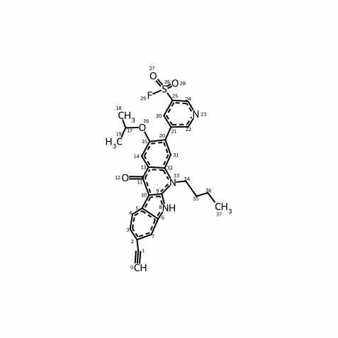 C#Cc1ccc2c(c1)[nH]c1c2c(=O)c2cc(OC(C)C)c(-c3cncc(S(=O)(=O)F)c3)cc2n1CCCC